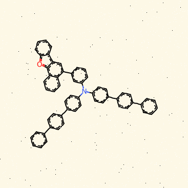 c1ccc(-c2ccc(-c3ccc(N(c4ccc(-c5ccc(-c6ccccc6)cc5)cc4)c4cccc(-c5cc6c7ccccc7oc6c6ccccc56)c4)cc3)cc2)cc1